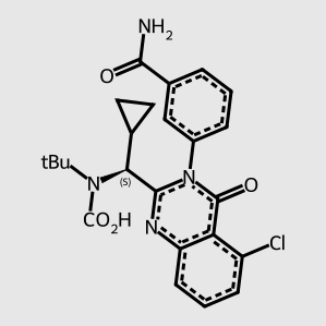 CC(C)(C)N(C(=O)O)[C@H](c1nc2cccc(Cl)c2c(=O)n1-c1cccc(C(N)=O)c1)C1CC1